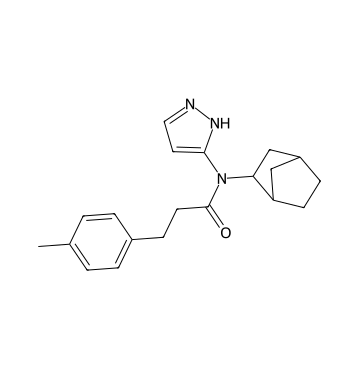 Cc1ccc(CCC(=O)N(c2ccn[nH]2)C2CC3CCC2C3)cc1